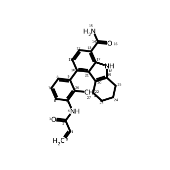 C=CC(=O)Nc1cccc(-c2ccc(C(N)=O)c3[nH]c4c(c23)CCCC4)c1C